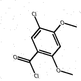 COc1cc(OC)c(C(=O)Cl)cc1Cl